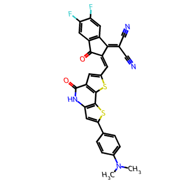 CN(C)c1ccc(-c2cc3[nH]c(=O)c4cc(/C=C5\C(=O)c6cc(F)c(F)cc6C5=C(C#N)C#N)sc4c3s2)cc1